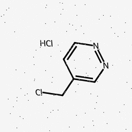 Cl.ClCc1ccnnc1